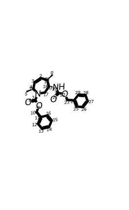 C[C@@H]1C=C[C@H](C)N(C(=O)OCc2ccccc2)C[C@H]1NC(=O)OCc1ccccc1